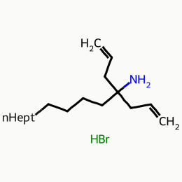 Br.C=CCC(N)(CC=C)CCCCCCCCCCC